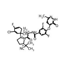 Cc1cc(Oc2c(F)cc(C(=O)N[C@H](C)C(=O)N3[C@H](C4(C)C=C(Cl)C(F)=CC4)CC[C@@H]3C(C)(C)C#N)cc2F)c(=O)[nH]n1